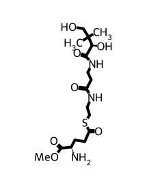 COC(=O)[C@@H](N)CCC(=O)SCCNC(=O)CCNC(=O)[C@H](O)C(C)(C)CO